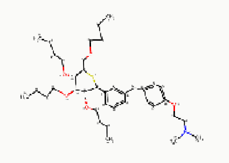 CCCCOC[C@H]1S[C@@H](c2cccc(Cc3ccc(OCCN(C)C)cc3)c2)[C@H](OCCCC)[C@@H](OCCCC)[C@@H]1OCCCC